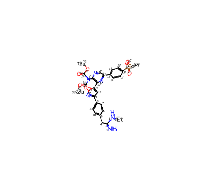 CCNC(=N)Cc1ccc(-c2cc(-c3nc(-c4ccc(S(=O)(=O)C(C)C)cc4)cnc3N(C(=O)OC(C)(C)C)C(=O)OC(C)(C)C)on2)cc1